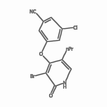 CCCc1c[nH]c(=O)c(Br)c1Oc1cc(Cl)cc(C#N)c1